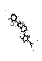 Cc1sc(C2CC2)nc1-c1ccc2[nH]c(-c3ccccc3Cl)cc2c1